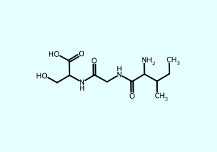 CCC(C)C(N)C(=O)NCC(=O)NC(CO)C(=O)O